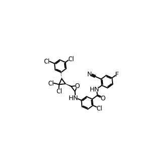 N#Cc1cc(F)ccc1NC(=O)c1cc(NC2OC2[C@@H]2[C@@H](c3cc(Cl)cc(Cl)c3)C2(Cl)Cl)ccc1Cl